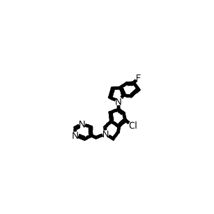 Fc1ccc2c(ccn2-c2cc(Cl)c3c(c2)CN(Cc2cncnc2)CC3)c1